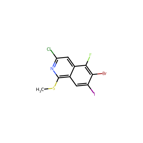 CSc1nc(Cl)cc2c(F)c(Br)c(I)cc12